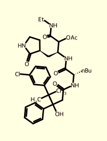 CCCC[C@H](NC(=O)CC(O)(c1ccccc1)C(C)(C)c1cccc(Cl)c1)C(=O)N[C@@H](C[C@@H]1CCNC1=O)C(OC(C)=O)C(=O)NCC